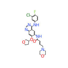 O=C(C=CCN1CCOCC1)Nc1cc2c(Nc3ccc(F)c(Cl)c3)ncnc2cc1OC1CCOC1